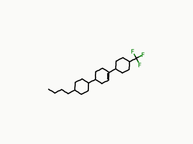 CCCCC1CCC(C2CC=C(C3CCC(C(F)(F)F)CC3)CC2)CC1